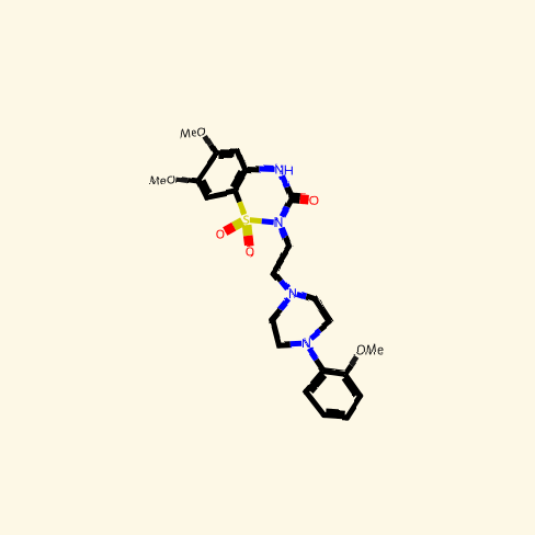 COc1cc2c(cc1OC)S(=O)(=O)N(CCN1CCN(c3ccccc3OC)CC1)C(=O)N2